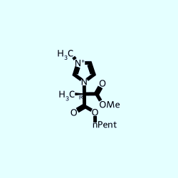 CCCCCOC(=O)[C@@](C)(C(=O)OC)n1cc[n+](C)c1